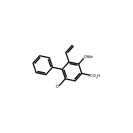 C=Cc1c(OC)c(C(=O)O)cc(Cl)c1-c1ccccc1